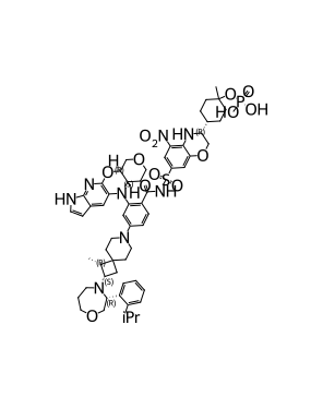 CC(C)c1ccccc1[C@@H]1COCCCN1[C@H]1CC2(CCN(c3ccc(C(=O)NS(=O)(=O)c4cc5c(c([N+](=O)[O-])c4)N[C@H](C4CCC(C)(OP(=O)(O)O)CC4)CO5)c(N4c5cc6cc[nH]c6nc5O[C@H]5COCC[C@@H]54)c3)CC2)[C@H]1C